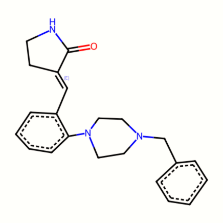 O=C1NCC/C1=C\c1ccccc1N1CCN(Cc2ccccc2)CC1